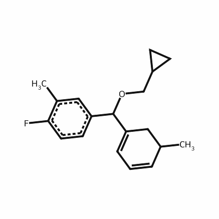 Cc1cc(C(OCC2CC2)C2=CC=CC(C)C2)ccc1F